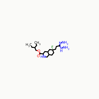 CCC(CC)COC(=O)C1CC2C[C@@](F)(CC/C(=N/N)NN)CCC2CN1